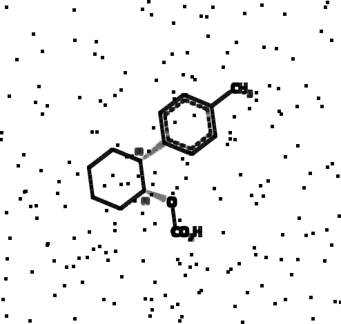 Cc1ccc([C@H]2CCCC[C@H]2OC(=O)O)cc1